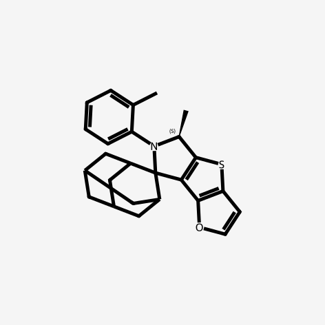 Cc1ccccc1N1[C@@H](C)c2sc3ccoc3c2C12C1CC3CC(C1)CC2C3